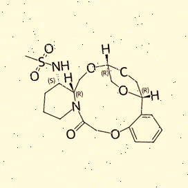 CS(=O)(=O)N[C@H]1CCCN2C(=O)COc3ccccc3[C@H]3CC[C@H](CO3)OC[C@@H]12